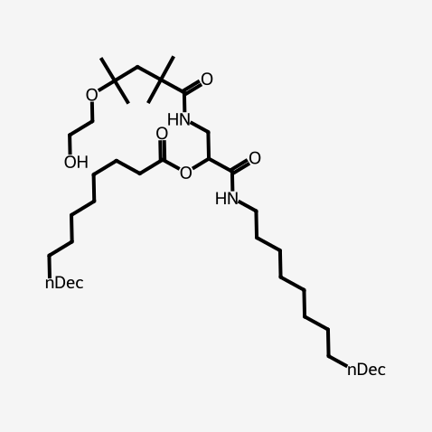 CCCCCCCCCCCCCCCCCCNC(=O)C(CNC(=O)C(C)(C)CC(C)(C)OCCO)OC(=O)CCCCCCCCCCCCCCCCC